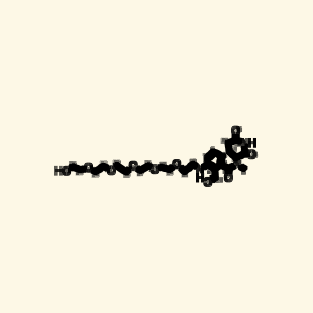 CN(C(=O)c1cccc(NCCOCCOCCOCCOCCOCCO)c1C=O)C1CCC(=O)NC1=O